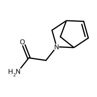 NC(=O)CN1CC2C=CC1C2